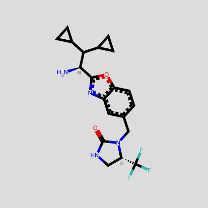 N[C@H](c1nc2cc(CN3C(=O)NC[C@H]3C(F)(F)F)ccc2o1)C(C1CC1)C1CC1